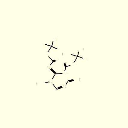 C=C/N=C\N(C)/C(=N/C(=O)OC(C)(C)C)NC(=O)OC(C)(C)C